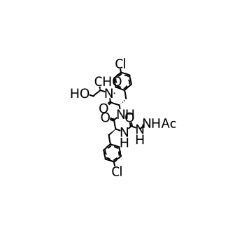 CC(=O)NNC(=O)N[C@@H](Cc1ccc(Cl)cc1)C(=O)N[C@@H](Cc1ccc(Cl)cc1)C(=O)[N][C@H](C=O)CO